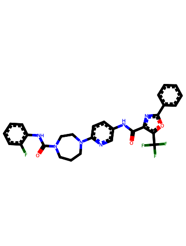 O=C(Nc1ccc(N2CCCN(C(=O)Nc3ccccc3F)CC2)nc1)c1nc(-c2ccccc2)oc1C(F)(F)F